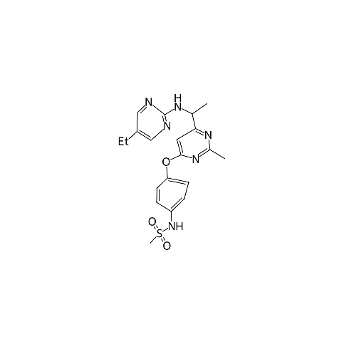 CCc1cnc(NC(C)c2cc(Oc3ccc(NS(C)(=O)=O)cc3)nc(C)n2)nc1